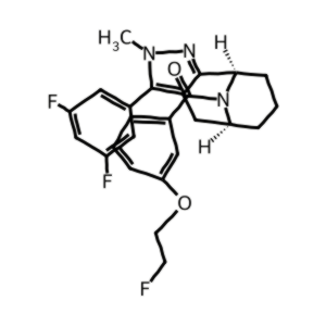 Cn1nc2c(c1-c1cc(F)cc(F)c1)C[C@@H]1CCC[C@H]2N1C(=O)c1cccc(OCCF)c1